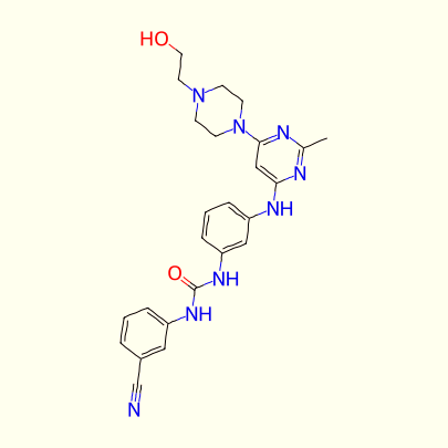 Cc1nc(Nc2cccc(NC(=O)Nc3cccc(C#N)c3)c2)cc(N2CCN(CCO)CC2)n1